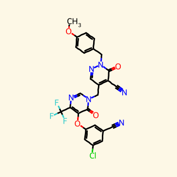 COc1ccc(Cn2ncc(Cn3cnc(C(F)(F)F)c(Oc4cc(Cl)cc(C#N)c4)c3=O)c(C#N)c2=O)cc1